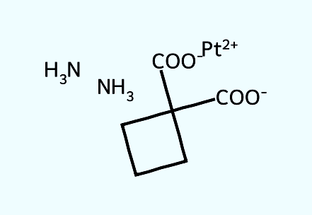 N.N.O=C([O-])C1(C(=O)[O-])CCC1.[Pt+2]